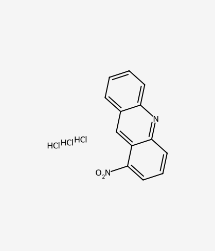 Cl.Cl.Cl.O=[N+]([O-])c1cccc2nc3ccccc3cc12